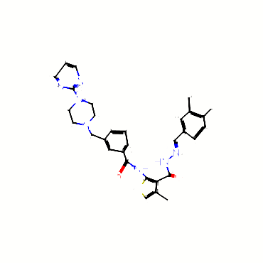 Cc1ccc(/C=N/NC(=O)c2c(C)csc2NC(=O)c2cccc(CN3CCN(c4ncccn4)CC3)c2)cc1C